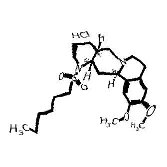 CCCCCCS(=O)(=O)N1CCC[C@@H]2CN3CCc4cc(OC)c(OC)cc4[C@H]3C[C@@H]21.Cl